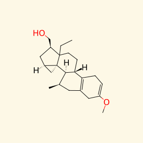 CCC12CC[C@@H]3C4=C(CC(OC)=CC4)C[C@@H](C)[C@H]3[C@]13C[C@H]3C[C@H]2CO